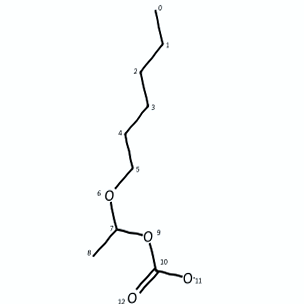 CCCCCCOC(C)OC([O])=O